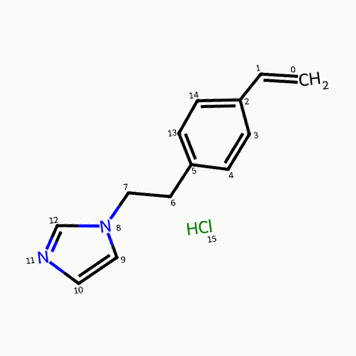 C=Cc1ccc(CCn2ccnc2)cc1.Cl